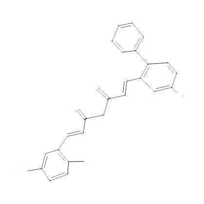 O=C(/C=C/c1cc(O)ccc1Br)CC(=O)/C=C/c1cc(O)ccc1-c1ccccc1